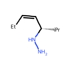 CC/C=C\[C@@H](NN)C(C)C